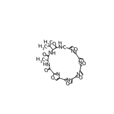 CC1NC(=O)c2nc(co2)-c2nc(co2)-c2nc(co2)-c2nc(co2)-c2nc(co2)CNC(=O)C(C(C)C)NC1=O